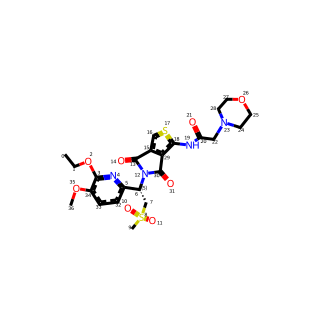 CCOc1nc([C@@H](CS(C)(=O)=O)N2C(=O)c3csc(NC(=O)CN4CCOCC4)c3C2=O)ccc1OC